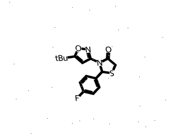 CC(C)(C)c1cc(N2C(=O)CSC2c2ccc(F)cc2)no1